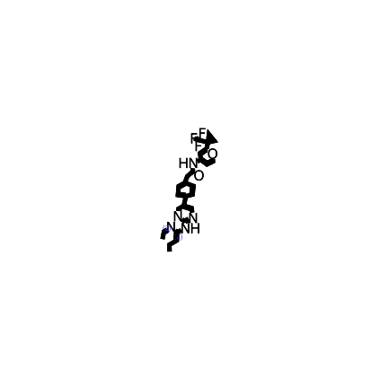 C/C=N\C(=C/CC)Nc1ncc(-c2ccc(CC(=O)NC3=C=COC(C4(C(F)(F)F)CC4)=C3)cc2)cn1